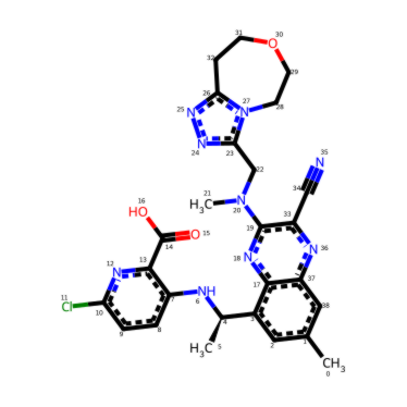 Cc1cc([C@@H](C)Nc2ccc(Cl)nc2C(=O)O)c2nc(N(C)Cc3nnc4n3CCOCC4)c(C#N)nc2c1